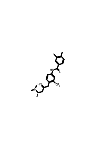 Cc1ccc(C(=O)Nc2ccc(CC(=N)C[C@@H](C)N(C)C)c(C(F)(F)F)c2)cc1I